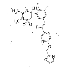 CN1C(N)=NC(C)(c2cc(C=C(F)c3cnc(OCc4ncco4)cn3)cc(F)c2F)CS1(=O)=O